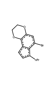 CCCn1ccc2c3c(cc(Br)c21)OCCO3